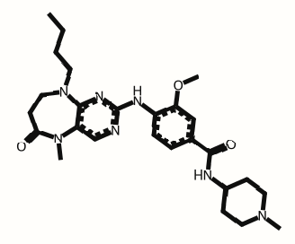 CCCCN1CCC(=O)N(C)c2cnc(Nc3ccc(C(=O)NC4CCN(C)CC4)cc3OC)nc21